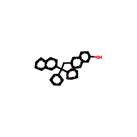 Oc1ccc2cc(CC(c3ccccc3)(c3ccccc3)c3ccc4ccccc4c3)ccc2c1